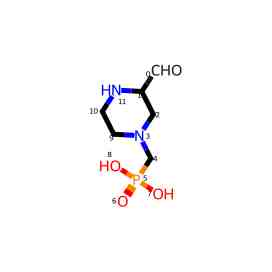 O=CC1CN(CP(=O)(O)O)CCN1